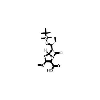 CC[C@@H](O[Si](C)(C)C(C)(C)C)[C@@H]1C(=O)N2C(C(=O)O)=C(SC)S[C@H]12